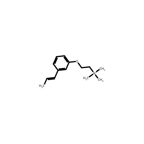 [CH2]/C=C/c1cccc(OCC[N+](C)(C)C)c1